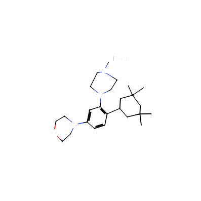 CCCCCN1CCN(c2cc(N3CCOCC3)ccc2C2CC(C)(C)CC(C)(C)C2)CC1